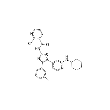 Cc1cccc(-c2nc(NC(=O)c3cccnc3Cl)sc2-c2ccnc(NC3CCCCC3)c2)c1